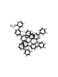 CC1CC=CC=C1c1cccc(-c2nc(-c3cccc(-c4ccccc4)c3)nc(-c3ccccc3-n3c4ccccc4c4ccc5c6ccccc6n(-c6nc(-c7ccccc7)nc(-c7ccccc7)n6)c5c43)n2)c1